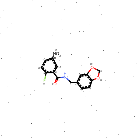 O=C(NCc1ccc2c(c1)OCO2)c1cc([N+](=O)[O-])ccc1F